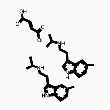 Cc1ccc2[nH]cc(CCNC(C)C)c2c1.Cc1ccc2[nH]cc(CCNC(C)C)c2c1.O=C(O)/C=C/C(=O)O